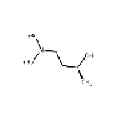 CCCCN(CCCC)CC[C@H](C)O